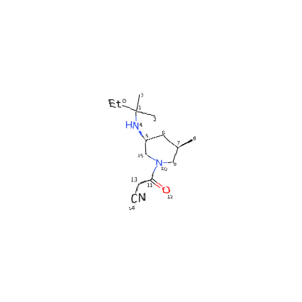 CCC(C)(C)N[C@H]1C[C@@H](C)CN(C(=O)CC#N)C1